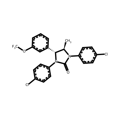 C[C@@H]1[C@@H](c2cccc(OC(F)(F)F)c2)N(c2ccc(Cl)cc2)C(=O)N1c1ccc(Cl)cc1